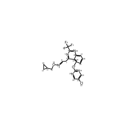 FC(F)(F)c1nc(CC=NOCC2CC2)c2c(Oc3ncc(Cl)cn3)cccc2n1